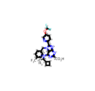 C[C@@H](Nc1nc(C(=O)O)nc2nc(-c3ccc(OC(F)F)cn3)n(Cc3ccc(C(F)(F)F)cc3)c12)C1CCC1